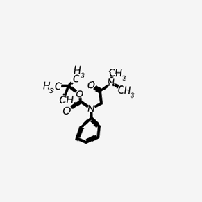 CN(C)C(=O)CN(C(=O)OC(C)(C)C)c1ccccc1